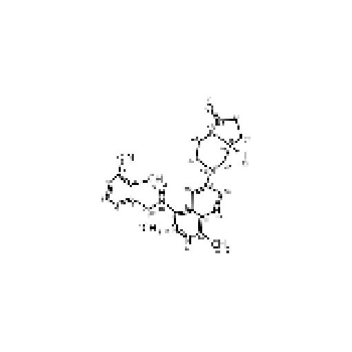 Cc1c(C#N)cccc1[C@@H](C)Nc1nnc(C)c2ncc(N3CCN4C(=O)CC[C@@H]4C3)cc12